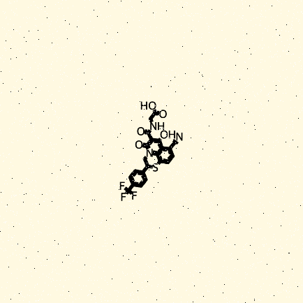 N#Cc1ccc2c3c1c(O)c(C(=O)NCC(=O)O)c(=O)n3CC(c1ccc(C(F)(F)F)cc1)S2